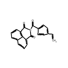 C=Cc1ccc(C(=O)N2C(=O)c3cccc4cccc(c34)C2=O)cc1